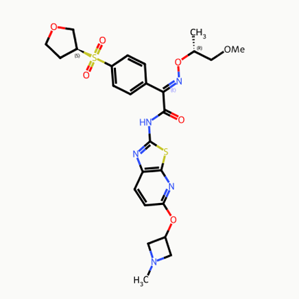 COC[C@@H](C)O/N=C(/C(=O)Nc1nc2ccc(OC3CN(C)C3)nc2s1)c1ccc(S(=O)(=O)[C@H]2CCOC2)cc1